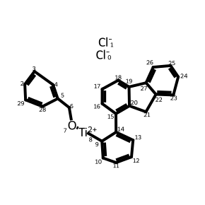 [Cl-].[Cl-].c1ccc(C[O][Ti+2][c]2ccccc2-c2cccc3c2Cc2ccccc2-3)cc1